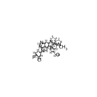 CN1CCC2(CCCN(c3cc4ncnc(Nc5ccc(F)c(Cl)c5)c4cc3[N+]3(C/C=C/C=O)CCCCC3)C2)C1